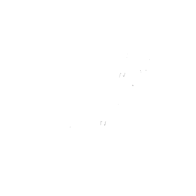 CCCCCCCn1cc(C)c2ccc(C3CCN(C(=O)OC(C)(C)C)C3=O)cc21